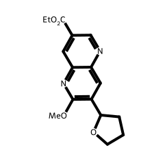 CCOC(=O)c1cnc2cc(C3CCCO3)c(OC)nc2c1